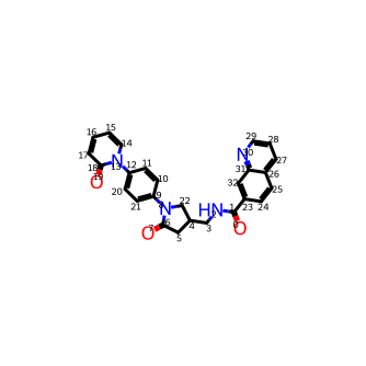 O=C(NCC1CC(=O)N(c2ccc(-n3ccccc3=O)cc2)C1)c1ccc2cccnc2c1